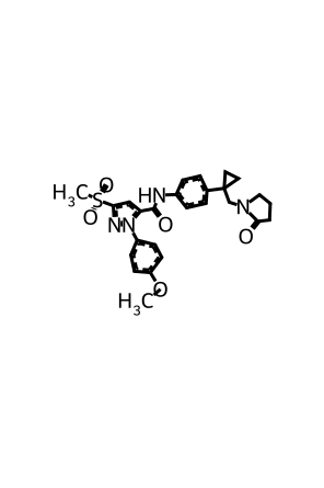 COc1ccc(-n2nc(S(C)(=O)=O)cc2C(=O)Nc2ccc(C3(CN4CCCC4=O)CC3)cc2)cc1